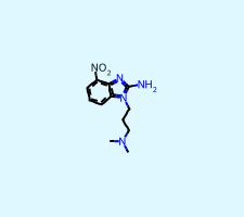 CN(C)CCCn1c(N)nc2c([N+](=O)[O-])cccc21